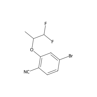 CC(Oc1cc(Br)ccc1C#N)C(F)F